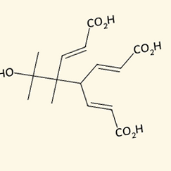 CC(C)(O)C(C)(C=CC(=O)O)C(C=CC(=O)O)C=CC(=O)O